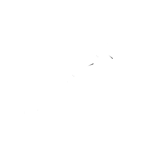 C[C@@H](NC[C@H]1CN(C(=O)Oc2ccc(C(=O)O)cc2)C[C@@H]1c1ccc(F)cc1)c1cccc2ccccc12